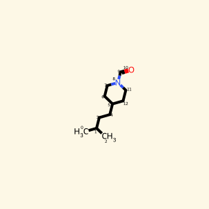 CC(C)CCC1CCN(C=O)CC1